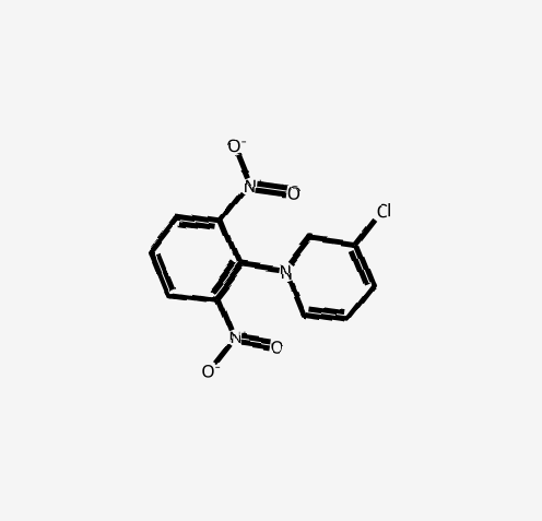 O=[N+]([O-])c1cccc([N+](=O)[O-])c1N1C=CC=C(Cl)C1